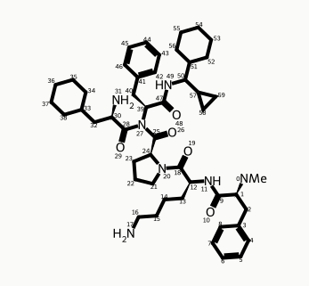 CN[C@@H](Cc1ccccc1)C(=O)N[C@@H](CCCCN)C(=O)N1CCC[C@H]1C(=O)N(C(=O)[C@H](N)CC1CCCCC1)[C@@H](Cc1ccccc1)C(=O)NC(C1CCCCC1)C1CC1